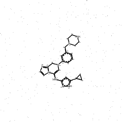 C1=C[N+]2C(Nc3cc(C4CC4)[nH]n3)=CN(c3cccc(CN4CCNCC4)c3)CC2=N1